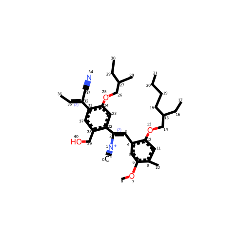 [C-]#[N+]/C(=C\c1cc(OC)c(C)cc1OCC(CC)CCCC)c1cc(OCC(C)CC)c(/C(C#N)=C/C)cc1CO